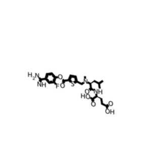 CC(C)C[C@@H](C(=O)N[C@@H](CCC(=O)O)C(=O)O)N(C)Cc1ccc(C(=O)Oc2ccc(C(=N)N)cc2F)s1